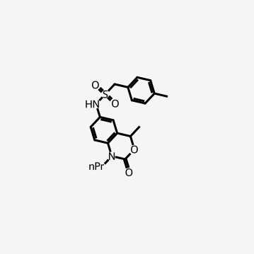 CCCN1C(=O)OC(C)c2cc(NS(=O)(=O)Cc3ccc(C)cc3)ccc21